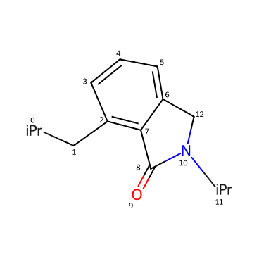 CC(C)Cc1cccc2c1C(=O)N(C(C)C)C2